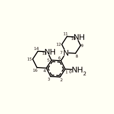 Nc1ccc2c(c1N1CCNCC1)NCCC2